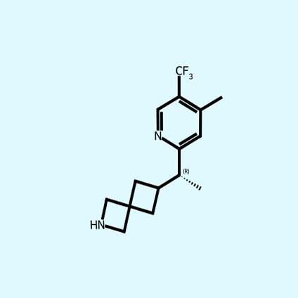 Cc1cc([C@H](C)C2CC3(CNC3)C2)ncc1C(F)(F)F